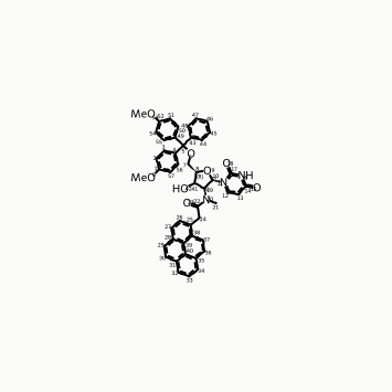 COc1ccc(C(OC[C@H]2O[C@@H](n3ccc(=O)[nH]c3=O)[C@@H](N(C)C(=O)Cc3ccc4ccc5cccc6ccc3c4c56)C2O)(c2ccccc2)c2ccc(OC)cc2)cc1